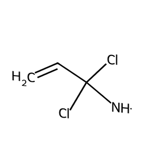 C=CC([NH])(Cl)Cl